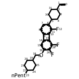 C=CC1CCC(c2ccc3c(c2F)-c2c-3cc(OCC3CCC(CCCCC)CC3)c(F)c2F)CC1